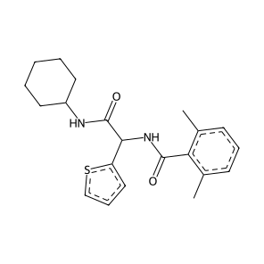 Cc1cccc(C)c1C(=O)NC(C(=O)NC1CCCCC1)c1cccs1